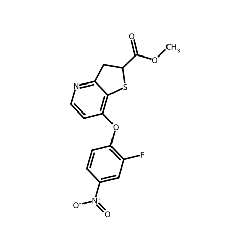 COC(=O)C1Cc2nccc(Oc3ccc([N+](=O)[O-])cc3F)c2S1